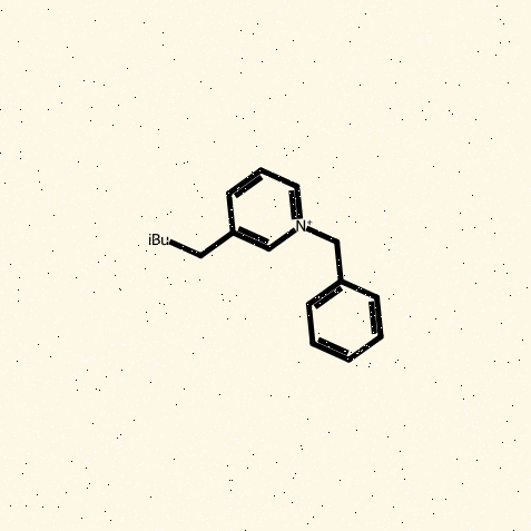 CCC(C)Cc1ccc[n+](Cc2ccccc2)c1